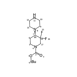 CC(C)(C)OC(=O)N1CC[C@@H](N2CCNCC2)C(F)(F)C1